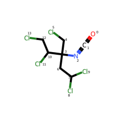 O=C=NC(CCl)(CC(Cl)Cl)C(Cl)CCl